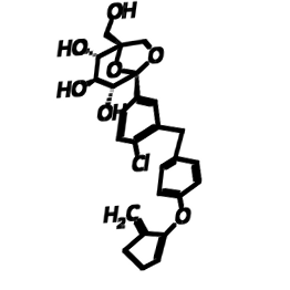 C=C1CCC=C1Oc1ccc(Cc2cc([C@]34OC[C@](CO)(O3)[C@@H](O)[C@H](O)[C@H]4O)ccc2Cl)cc1